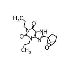 CCCn1c(=O)c2[nH]c(C34CCC(C3)C3OC34)nc2n(CCC)c1=O